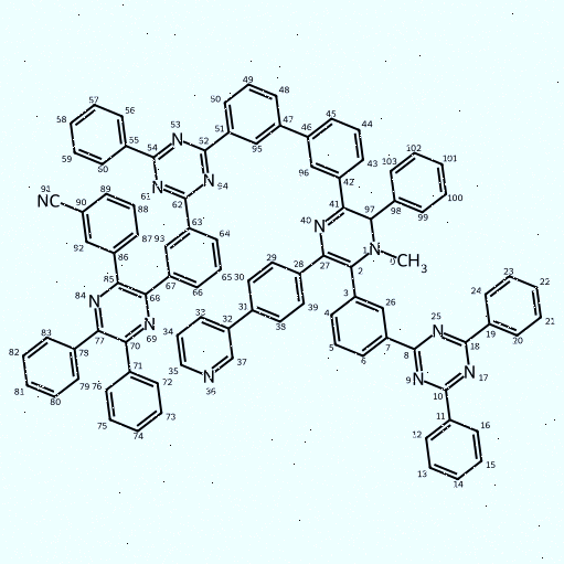 CN1C(c2cccc(-c3nc(-c4ccccc4)nc(-c4ccccc4)n3)c2)=C(c2ccc(-c3cccnc3)cc2)N=C(c2cccc(-c3cccc(-c4nc(-c5ccccc5)nc(-c5cccc(-c6nc(-c7ccccc7)c(-c7ccccc7)nc6-c6cccc(C#N)c6)c5)n4)c3)c2)C1c1ccccc1